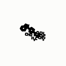 CC1(C)OB(c2ccc(-n3ncc4ccccc43)cc2C=O)OC1(C)C